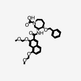 COCOc1cc2c(OCOC)cccc2cc1C(=O)N[C@@H]1CN(C(=O)O)CCC[C@H]1OCc1ccccc1